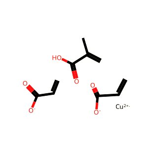 C=C(C)C(=O)O.C=CC(=O)[O-].C=CC(=O)[O-].[Cu+2]